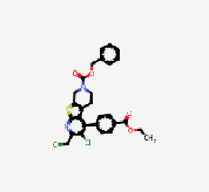 CCOC(=O)c1ccc(-c2c(Cl)c(CCl)nc3sc4c(c23)CCN(C(=O)OCc2ccccc2)C4)cc1